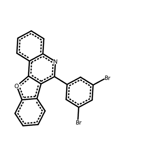 Brc1cc(Br)cc(-c2nc3ccccc3c3oc4ccccc4c23)c1